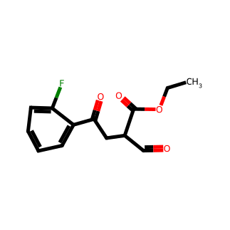 CCOC(=O)C(C=O)CC(=O)c1ccccc1F